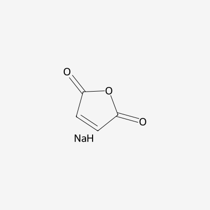 O=C1C=CC(=O)O1.[NaH]